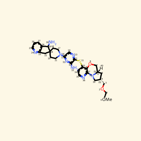 COCOC[C@H]1C[C@H]2COc3c(Sc4ncc(N5CCC6(CC5)Cc5ncccc5C6N)nc4N)ccnc3N2C1